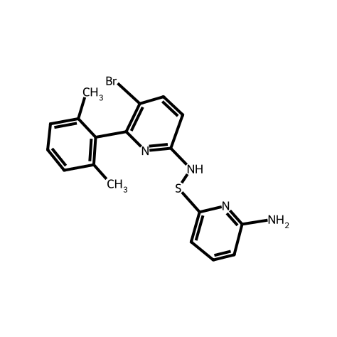 Cc1cccc(C)c1-c1nc(NSc2cccc(N)n2)ccc1Br